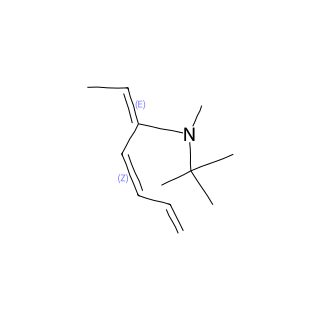 C=C/C=C\C(=C/C)N(C)C(C)(C)C